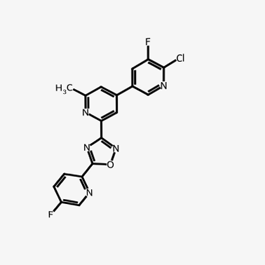 Cc1cc(-c2cnc(Cl)c(F)c2)cc(-c2noc(-c3ccc(F)cn3)n2)n1